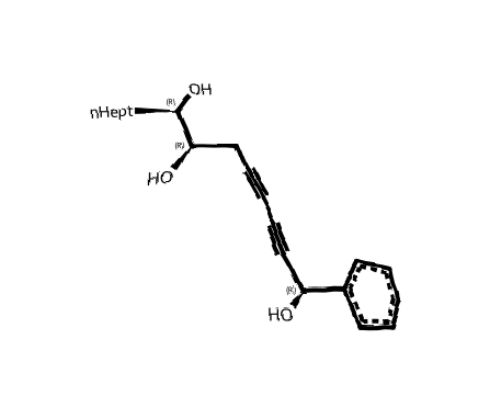 CCCCCCC[C@@H](O)[C@H](O)CC#CC#C[C@H](O)c1ccccc1